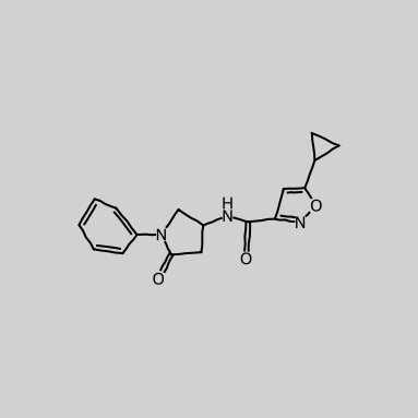 O=C(NC1CC(=O)N(c2ccccc2)C1)c1cc(C2CC2)on1